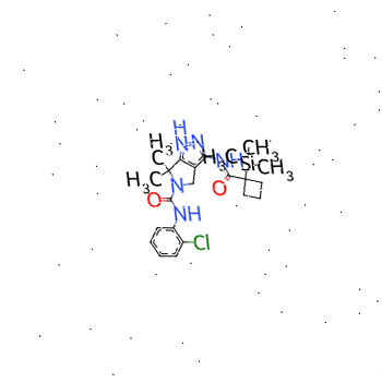 CC1(C)c2[nH]nc(NC(=O)C3([Si](C)(C)C)CCC3)c2CN1C(=O)Nc1ccccc1Cl